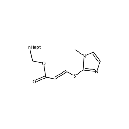 CCCCCCCCOC(=O)C=CSc1nccn1C